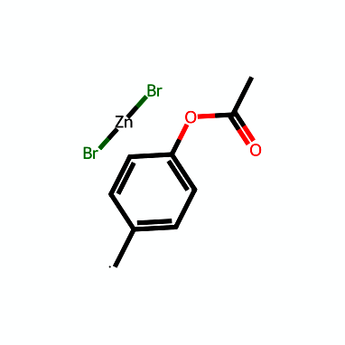 [Br][Zn][Br].[CH2]c1ccc(OC(C)=O)cc1